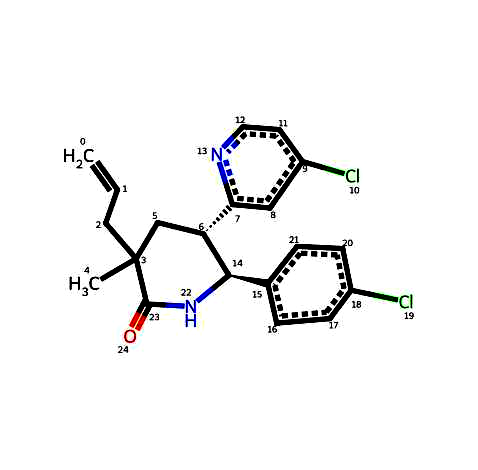 C=CCC1(C)C[C@H](c2cc(Cl)ccn2)[C@@H](c2ccc(Cl)cc2)NC1=O